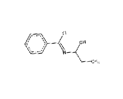 CCC(O)/N=C(\Cl)c1ccccc1